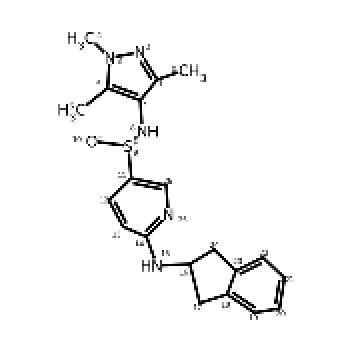 Cc1nn(C)c(C)c1N[S+]([O-])c1ccc(NC2Cc3ccccc3C2)nc1